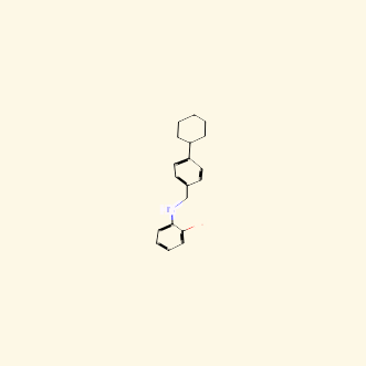 Oc1ccccc1NCc1ccc(C2CCCCC2)cc1